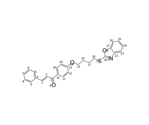 O=C(C=Cc1ccccc1)c1ccc(OCCCCSc2nc3ccccc3o2)cc1